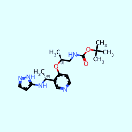 C[C@@H](CNC(=O)OC(C)(C)C)Oc1ccncc1[C@@H](C)Nc1ccn[nH]1